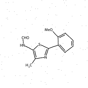 COc1ccccc1-c1nc(C)c(NC=O)s1